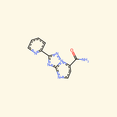 NC(=O)c1ccnc2nc(-c3ccccn3)nn12